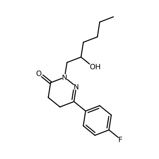 CCCCC(O)CN1N=C(c2ccc(F)cc2)CCC1=O